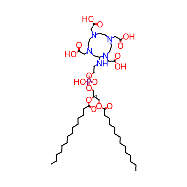 CCCCCCCCCCCCCC(=O)OC[C@H](COP(=O)(O)OCCNC1CN(CC(=O)O)CCN(CC(=O)O)CCN(CC(=O)O)CCN1CC(=O)O)OC(=O)CCCCCCCCCCCCC